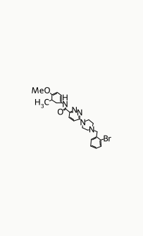 COC1=CC=C(NC(=O)c2ccc(N3CCN(Cc4ccccc4Br)CC3)nn2)CC1C